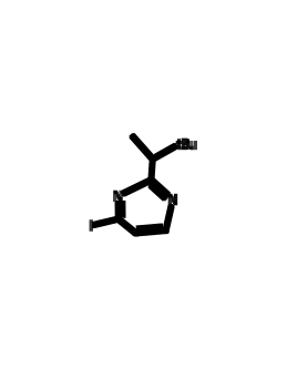 CC(c1nccc(I)n1)C(C)(C)C